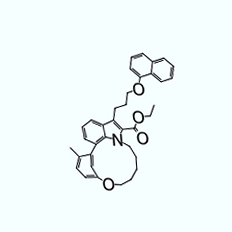 CCOC(=O)c1c(CCCOc2cccc3ccccc23)c2cccc3c2n1CCCCCOc1ccc(C)c-3c1